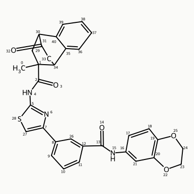 CC1(C(=O)Nc2nc(-c3cccc(C(=O)Nc4ccc5c(c4)OCCO5)c3)cs2)CC2C(=O)CC1c1ccccc12